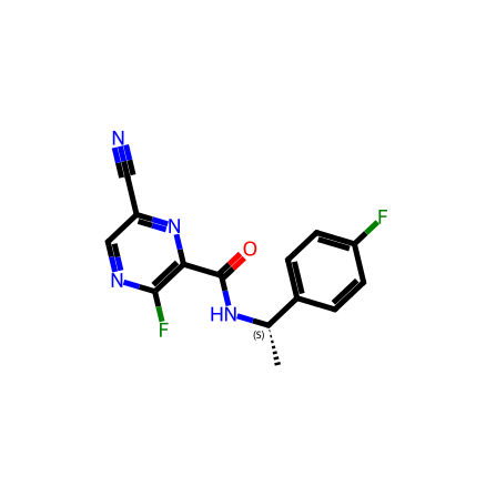 C[C@H](NC(=O)c1nc(C#N)cnc1F)c1ccc(F)cc1